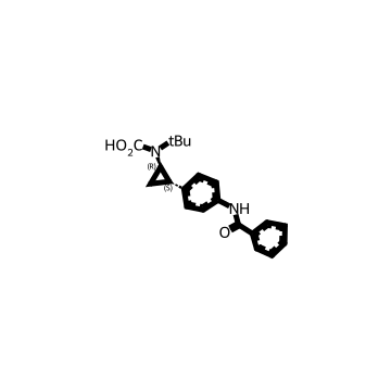 CC(C)(C)N(C(=O)O)[C@@H]1C[C@H]1c1ccc(NC(=O)c2ccccc2)cc1